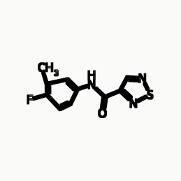 Cc1cc(NC(=O)c2cnsn2)ccc1F